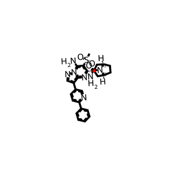 CS(=O)(=O)c1c([C@@H]2C[C@H]3CC[C@@H](C2)N3C(N)=O)nc2c(-c3ccc(-c4ccccc4)nc3)cnn2c1N